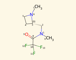 CN(C[C@@H]1CCN1C)C(=O)C(F)(F)F